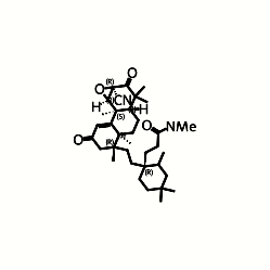 CNC(=O)CC[C@]1(CC[C@]2(C)CC(=O)C=C3[C@@]4(C)[C@H]5O[C@@]5(C#N)C(=O)C(C)(C)[C@@H]4CC[C@]32C)CCC(C)(C)CC1C